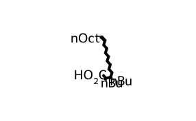 CCCCCCCC/C=C\CCCCCCCC[C](CCCC)C(CCCC)C(=O)O